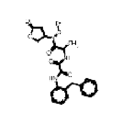 CCON(C(=O)C(C)NC(=O)C(=O)Nc1ccccc1Cc1ccccc1)C1COC(=O)C1